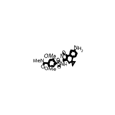 CNC(=O)c1cc(OC)c(S(=O)(=O)Nc2noc3c2CC2(CC2)c2ccc(N)cc2-3)c(OC)c1